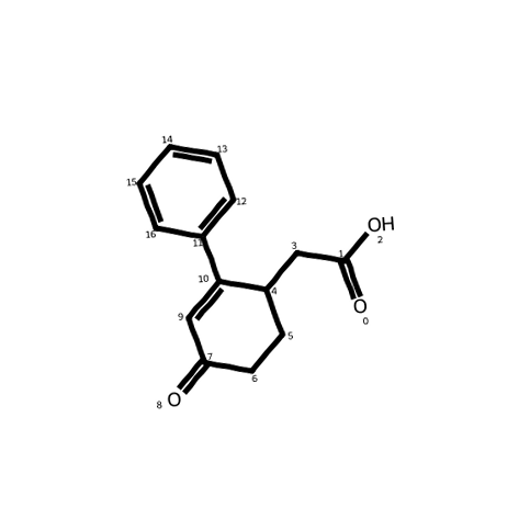 O=C(O)CC1CCC(=O)C=C1c1ccccc1